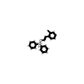 Cc1ccccc1C=CO[SiH](c1ccccc1)c1ccccc1